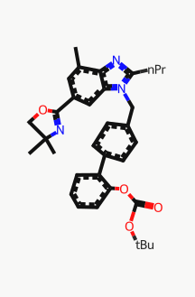 CCCc1nc2c(C)cc(C3=NC(C)(C)CO3)cc2n1Cc1ccc(-c2ccccc2OC(=O)OC(C)(C)C)cc1